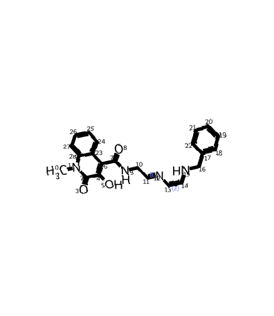 Cn1c(=O)c(O)c(C(=O)NC/C=N/C=C\NCc2ccccc2)c2ccccc21